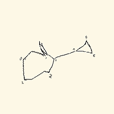 [CH]1CCC(C2CC2)N1